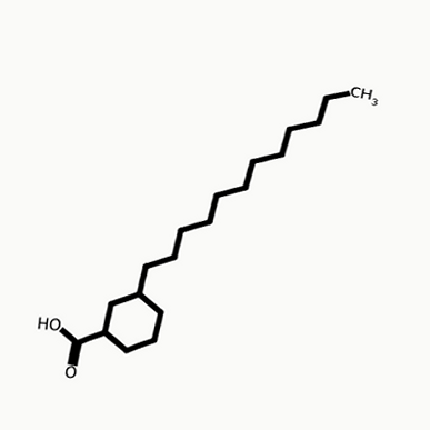 CCCCCCCCCCCCC1CCCC(C(=O)O)C1